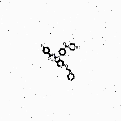 C[C@@H]1CNCCN1C(=O)[C@H]1CC[C@@H](n2/c(=N/C(=O)c3ccc(F)cc3)[nH]c3cnc(OCCN4CCCCC4)cc32)CC1